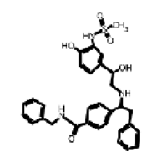 CS(=O)(=O)Nc1cc([C@@H](O)CNC(Cc2ccccc2)c2ccc(C(=O)NCc3ccccc3)cc2)ccc1O